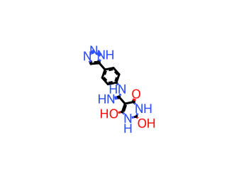 N=C(Nc1ccc(-c2cnn[nH]2)cc1)C1=C(O)NC(O)NC1=O